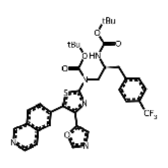 CC(C)(C)OC(=O)N[C@@H](Cc1ccc(C(F)(F)F)cc1)CN(C(=O)OC(C)(C)C)c1nc(-c2cnco2)c(-c2ccc3cnccc3c2)s1